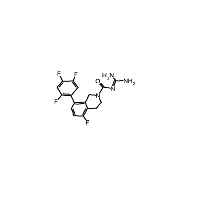 NC(N)=NC(=O)N1CCc2c(F)ccc(-c3cc(F)c(F)cc3F)c2C1